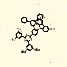 Cc1cc(-c2nc(-c3cc(C(C)(C)C)cc(C(C)(C)C)c3)nc(-c3ccc(-n4c5ccc(C)cc5c5cc(C)ccc54)c(-c4nc(-c5ccccc5)cc(-c5ccccc5)n4)c3)n2)cc(C(C)(C)C)c1